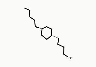 CCCCC[C@H]1CC[C@H](CCCCBr)CC1